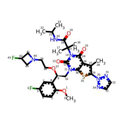 COc1ccc(F)cc1[C@H](Cn1c(=O)n(C(C)(C)C(=O)NC(C)C)c(=O)c2c(C)c(-n3nccn3)sc21)OCCN1CC(F)C1